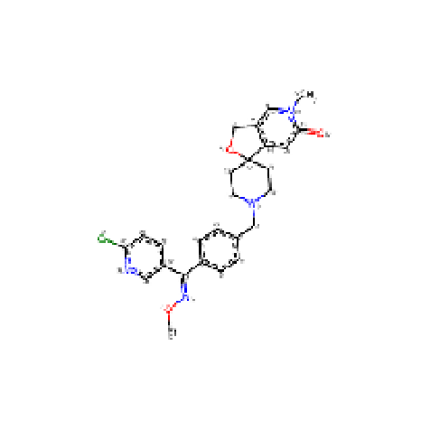 CCON=C(c1ccc(CN2CCC3(CC2)OCc2cn(C)c(=O)cc23)cc1)c1ccc(Cl)nc1